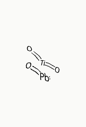 [O]=[Pb].[O]=[Ti]=[O]